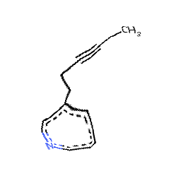 CC#CCc1cccnc1